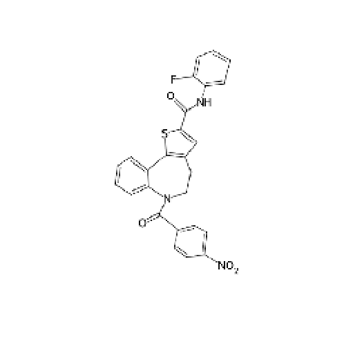 O=C(Nc1ccccc1F)c1cc2c(s1)-c1ccccc1N(C(=O)c1ccc([N+](=O)[O-])cc1)CC2